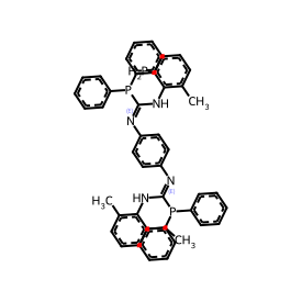 CCc1cccc(C)c1N/C(=N\c1ccc(/N=C(\Nc2c(C)cccc2P)P(c2ccccc2)c2ccccc2)cc1)P(c1ccccc1)c1ccccc1